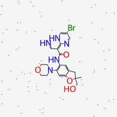 CC1(CO)Cc2cc(NC(=O)/C(C=N)=C3\N=CC(Br)=CN3)c(N3CCOCC3)cc2O1